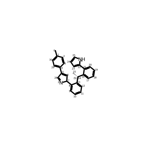 Cc1ccc(C2=CC(c3ccccc3[C@H](C)c3ccccc3-c3ccc[nH]3)N=C2)cc1